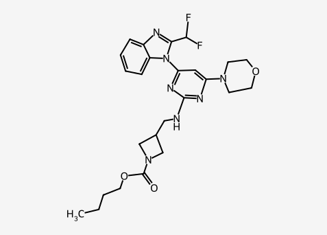 CCCCOC(=O)N1CC(CNc2nc(N3CCOCC3)cc(-n3c(C(F)F)nc4ccccc43)n2)C1